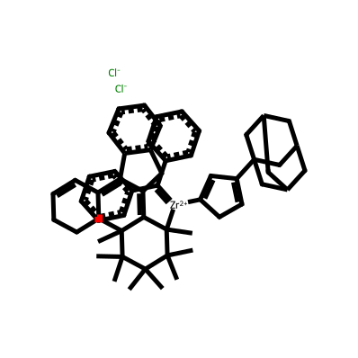 CC12C(=C3Cc4ccccc4C3=C3C=CCCC31)[C](C)([Zr+2]([C]1=CC(C34CC5CC(CC(C5)C3)C4)=CC1)=[C](c1ccccc1)c1ccccc1)C(C)(C)C(C)(C)C2(C)C.[Cl-].[Cl-]